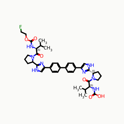 CC(C)[C@H](NC(=O)OCCF)C(=O)N1CCCC1c1nc(-c2ccc(-c3ccc(-c4c[nH]c([C@@H]5CCCN5C(=O)[C@@H](NC(=O)O)C(C)C)n4)cc3)cc2)c[nH]1